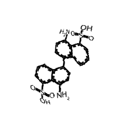 Nc1ccc(-c2ccc(N)c3c(S(=O)(=O)O)cccc23)c2cccc(S(=O)(=O)O)c12